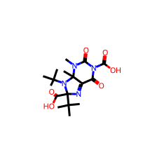 CN1C(=O)N(C(=O)O)C(=O)C2=NC(C(=O)O)(C(C)(C)C)N(C(C)(C)C)C21C